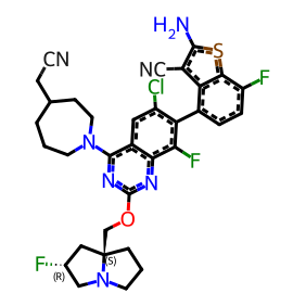 N#CCC1CCCN(c2nc(OC[C@@]34CCCN3C[C@H](F)C4)nc3c(F)c(-c4ccc(F)c5sc(N)c(C#N)c45)c(Cl)cc23)CC1